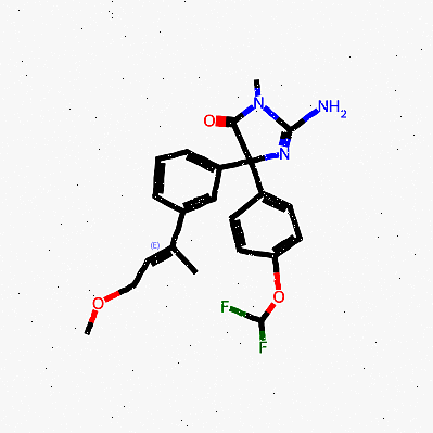 COC/C=C(\C)c1cccc(C2(c3ccc(OC(F)F)cc3)N=C(N)N(C)C2=O)c1